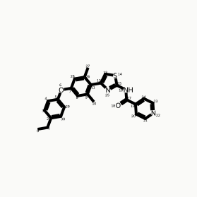 CCc1ccc(Oc2cc(C)c(-c3csc(NC(=O)c4ccncc4)n3)c(C)c2)cc1